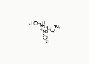 O=C(N=C(N/N=C/c1ccc(Cl)cc1)N/N=C/c1ccc(Cl)cc1)c1cccc([N+](=O)[O-])c1